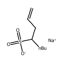 C=CCC(CCCC)S(=O)(=O)[O-].[Na+]